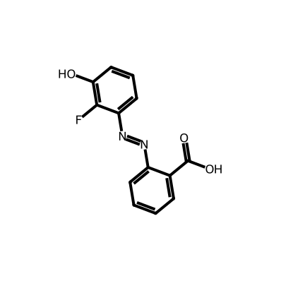 O=C(O)c1ccccc1N=Nc1cccc(O)c1F